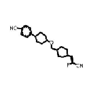 N#CC(F)=CC1CCC(COC2CCC(c3ccc(C#N)cc3)CC2)CC1